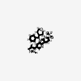 Cc1cnn(C)c1-c1cnc2c3ccc(S(C)(=O)=O)nc3n(C(c3ccccc3)C3CCOCC3)c2c1